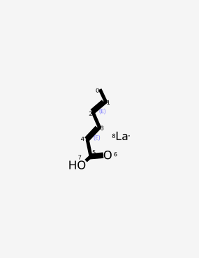 C/C=C/C=C/C(=O)O.[La]